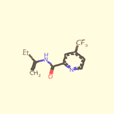 C=C(CC)NC(=O)c1cc(C(F)(F)F)ccn1